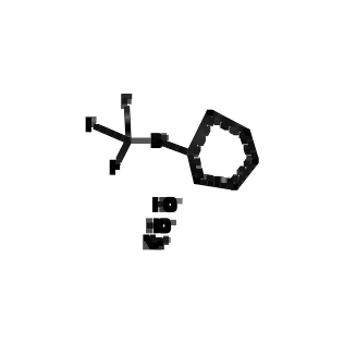 FC(F)(F)[B+]c1ccccc1.[Na+].[OH-].[OH-]